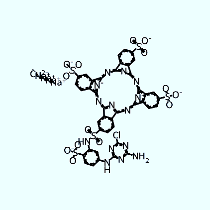 Nc1nc(Cl)nc(Nc2ccc(S(=O)(=O)[O-])c(NS(=O)(=O)c3ccc4c(c3)-c3nc-4nc4[n-]c(nc5nc(nc6[n-]c(n3)c3ccc(S(=O)(=O)[O-])cc63)-c3ccc(S(=O)(=O)[O-])cc3-5)c3cc(S(=O)(=O)[O-])ccc43)c2)n1.[Cu+2].[Na+].[Na+].[Na+].[Na+]